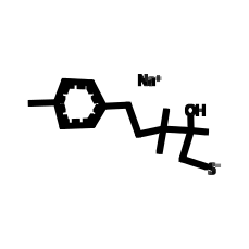 Cc1ccc(CCC(C)(C)C(C)(O)C[S-])cc1.[Na+]